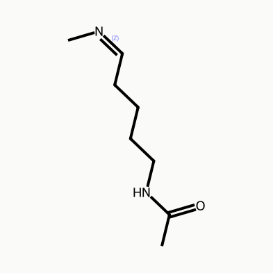 C/N=C\CCCCNC(C)=O